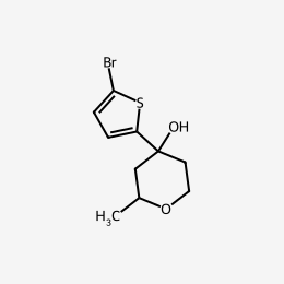 CC1CC(O)(c2ccc(Br)s2)CCO1